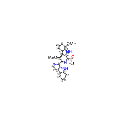 CCC(=O)c1nc(-c2nccc3c2[nH]c2ccccc23)c(OC)c2c1[nH]c1c(OC)cccc12